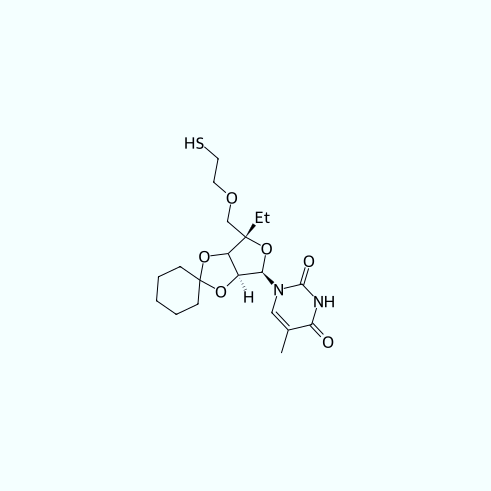 CC[C@@]1(COCCS)O[C@@H](n2cc(C)c(=O)[nH]c2=O)[C@H]2OC3(CCCCC3)OC21